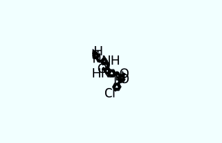 O=C1Nc2ccc(CN3N=C(c4ccc(Cl)cc4)COC3=O)cc2C1=Cc1cc(CN2CC3C[C@@H]3C2)c[nH]1